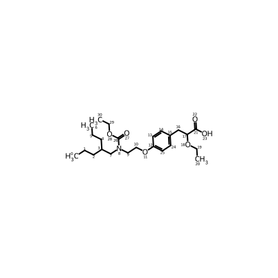 CCCC(CCC)CN(CCOc1ccc(CC(OCC)C(=O)O)cc1)C(=O)OCC